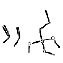 C=CC.C=CC.CCC[Si](OC)(OC)OC